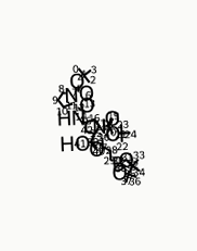 CC(C)(C)OC(=O)N1CCC[C@H]1C(=O)N[C@H]1CN(C(=O)OC(C)(C)C)[C@@](CCCCB2OC(C)(C)C(C)(C)O2)(C(=O)O)C1